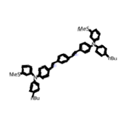 CCCCc1ccc(N(c2ccc(/C=C/c3ccc(/C=C/c4ccc(N(c5ccc(CCCC)cc5)c5cccc(SC)c5)cc4)cc3)cc2)c2cccc(SC)c2)cc1